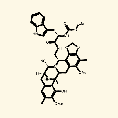 COc1c(C)cc2c(c1O)[C@@H]1N[C@@H](C2)[C@H](C#N)N2C1Cc1c(OC(C)=O)c(C)c3c(c1[C@@H]2CNC(=O)[C@H](Cc1c[nH]c2ccccc12)NC(=O)OC(C)(C)C)OCO3